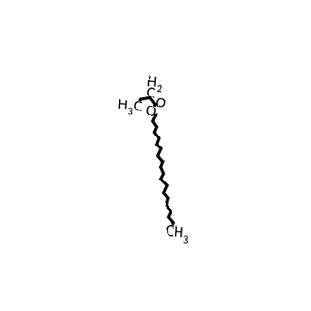 C=C(CC)C(=O)OCCCCCCCCCCCCCCCCCCCC